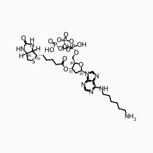 NCCCCCCNc1ncnc2c1ncn2[C@H]1C[C@H](OC(=O)CCCC[C@@H]2SC[C@@H]3NC(=O)N[C@@H]32)[C@@H](COP(=O)(O)OP(=O)(O)OP(=O)(O)O)O1